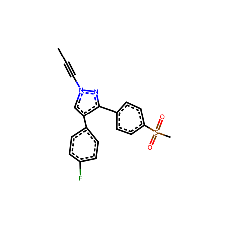 CC#Cn1cc(-c2ccc(F)cc2)c(-c2ccc(S(C)(=O)=O)cc2)n1